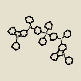 c1ccc(N(c2ccc([Si](c3ccccc3)(c3ccccc3)c3ccc(N(c4ccccc4)c4ccc5c(c4)c4ccccc4n5-c4ccccc4)cc3)cc2)c2ccc3c(c2)c2ccccc2n3-c2ccccc2)cc1